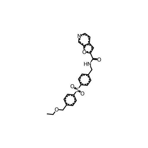 CCOCc1ccc(S(=O)(=O)c2ccc(CNC(=O)c3cc4ccncc4o3)cc2)cc1